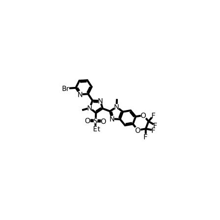 CCS(=O)(=O)c1c(-c2nc3cc4c(cc3n2C)OC(F)(F)C(F)(F)O4)nc(-c2cccc(Br)n2)n1C